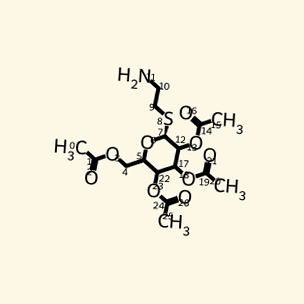 CC(=O)OCC1O[C@@H](SCCN)C(OC(C)=O)C(OC(C)=O)C1OC(C)=O